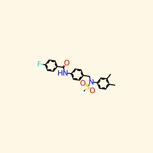 Cc1ccc(N(Cc2ccc(NC(=O)c3ccc(F)cc3)cc2)S(C)(=O)=O)cc1C